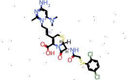 Cc1nc(N)cc(N(C)C)[n+]1C/C=C/C1=C(C(=O)O)N2C(=O)[C@@H](NC(=O)CSc3cc(Cl)ccc3Cl)[C@H]2SC1